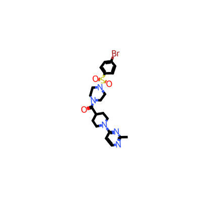 Cc1nccc(N2CCC(C(=O)N3CCN(S(=O)(=O)c4ccc(Br)cc4)CC3)CC2)n1